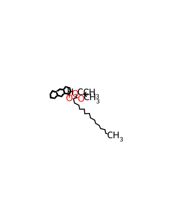 CCCCCCCCCCCCCCC(Oc1cccc2cc3ccccc3cc12)C(=O)OC(C)(C)C